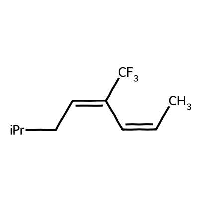 C/C=C\C(=C/CC(C)C)C(F)(F)F